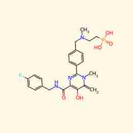 C=C1C(O)=C(C(=O)NCc2ccc(F)cc2)N=C(c2ccc(CN(C)CCP(=O)(O)O)cc2)N1C